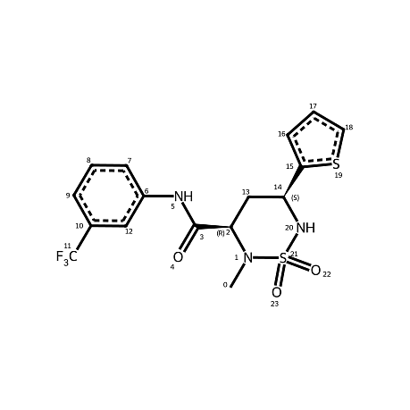 CN1[C@@H](C(=O)Nc2cccc(C(F)(F)F)c2)C[C@@H](c2cccs2)NS1(=O)=O